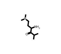 CC(C)C(=O)C(N)CCN(C)C